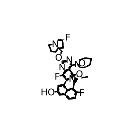 C#Cc1c(F)ccc2cc(O)cc(-c3nc(OCC)c4c(N5CC6CCC(C5)O6)nc(OC[C@@]56CCCN5C[C@H](F)C6)nc4c3F)c12